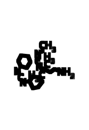 C(=NC1CCCCC1)=NC1CCCCC1.CCN=C=NC(C)(C)CCN